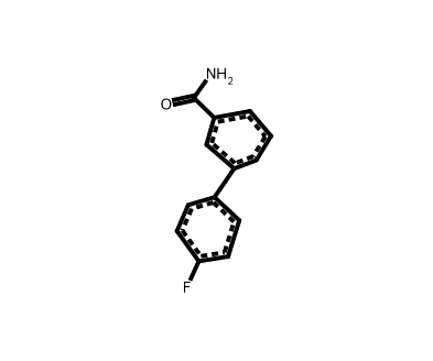 NC(=O)c1cccc(-c2ccc(F)cc2)c1